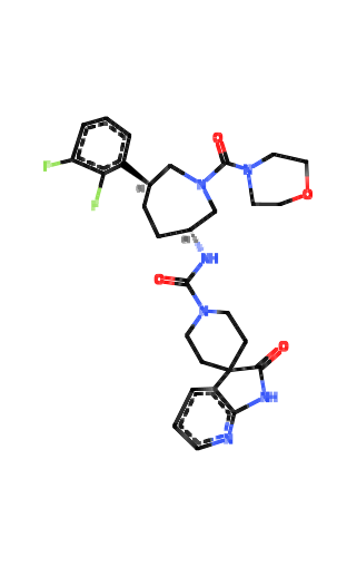 O=C(N[C@@H]1CC[C@@H](c2cccc(F)c2F)CN(C(=O)N2CCOCC2)C1)N1CCC2(CC1)C(=O)Nc1ncccc12